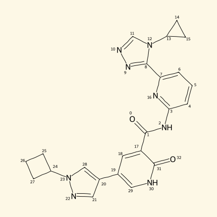 O=C(Nc1cccc(-c2nncn2C2CC2)n1)c1cc(-c2cnn(C3CCC3)c2)c[nH]c1=O